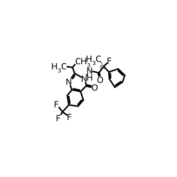 CC(C)c1nc2cc(C(F)(F)F)ccc2c(=O)n1NC(=O)[C@@](C)(F)c1ccccc1